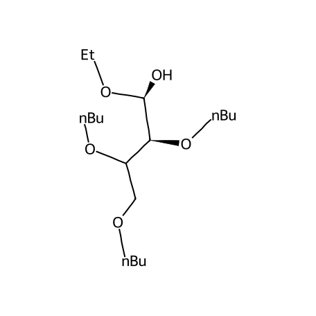 CCCCOCC(OCCCC)[C@H](OCCCC)[C@H](O)OCC